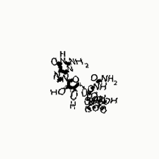 NC(=O)NOP(=O)(OC[C@H]1O[C@@H](n2cnc3c(=O)[nH]c(N)nc32)[C@H](O)[C@@H]1O)OP(=O)(O)OP(=O)(O)O